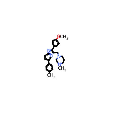 COc1ccc(-c2nc3ccc(-c4ccc(C)cc4)cn3c2CN2CCCN(C)CC2)cc1